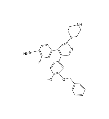 COc1ccc(-c2cnc(N3CCNCC3)cc2-c2ccc(C#N)c(F)c2)cc1OCc1ccccc1